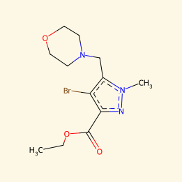 CCOC(=O)c1nn(C)c(CN2CCOCC2)c1Br